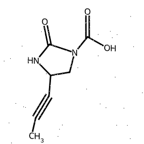 CC#CC1CN(C(=O)O)C(=O)N1